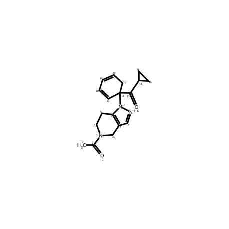 CC(=O)N1CCc2c(cnn2C2(C(=O)C3CC3)C=CC=CC2)C1